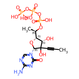 CC#CC1(O)[C@@H](O)[C@@H]([C@@H](C)OP(=O)(O)OP(=O)(O)OP(=O)(O)O)O[C@H]1n1cnc(N)nc1=O